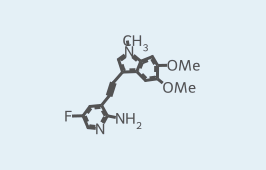 COc1cc2c(C#Cc3cc(F)cnc3N)cn(C)c2cc1OC